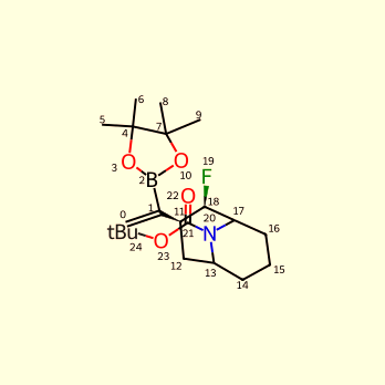 C=C(B1OC(C)(C)C(C)(C)O1)[C@@H]1CC2CCCC([C@@H]1F)N2C(=O)OC(C)(C)C